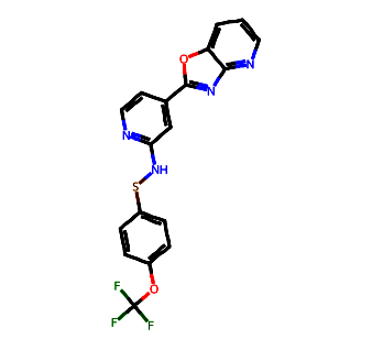 FC(F)(F)Oc1ccc(SNc2cc(-c3nc4ncccc4o3)ccn2)cc1